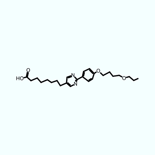 CCCOCCCCOc1ccc(-c2ncc(CCCCCCCC(=O)O)cn2)cc1